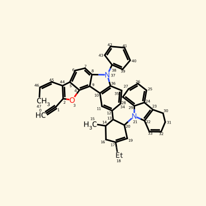 C#Cc1oc2c(ccc3c2c2cc(C4C(C)CC(CC)=CC4n4c5c(c6ccccc64)CCC=C5)ccc2n3-c2ccccc2)c1/C=C\C